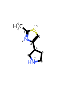 Cc1nc(C2CCNC2)cs1